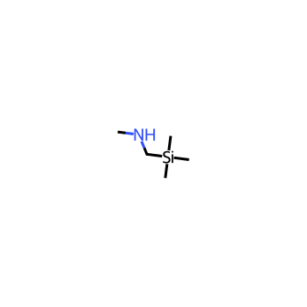 CNC[Si](C)(C)C